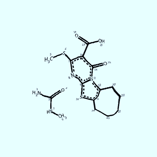 CNC(N)=O.CSc1nc2sc3c(n2c(=O)c1C(=O)O)CCCCC3